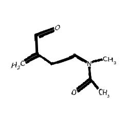 C=C(C=O)CCN(C)C(C)=O